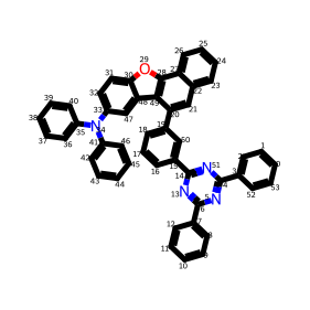 c1ccc(-c2nc(-c3ccccc3)nc(-c3cccc(-c4cc5ccccc5c5oc6ccc(N(c7ccccc7)c7ccccc7)cc6c45)c3)n2)cc1